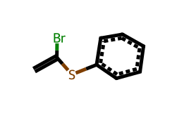 C=C(Br)Sc1ccccc1